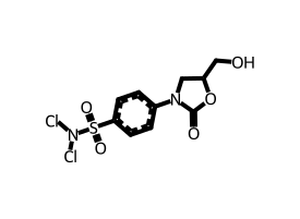 O=C1OC(CO)CN1c1ccc(S(=O)(=O)N(Cl)Cl)cc1